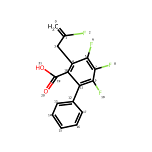 C=C(F)Cc1c(F)c(F)c(F)c(-c2ccccc2)c1C(=O)O